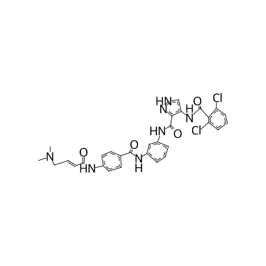 CN(C)C/C=C/C(=O)Nc1ccc(C(=O)Nc2cccc(NC(=O)c3n[nH]cc3NC(=O)c3c(Cl)cccc3Cl)c2)cc1